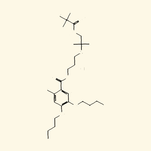 CCCCOc1cc(C)c(C(=O)OC[C@@H](O)CNC(C)(C)COC(=O)C(C)(C)C)cc1OCCCC